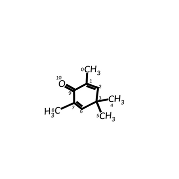 CC1=CC(C)(C)C=C(C)C1=O